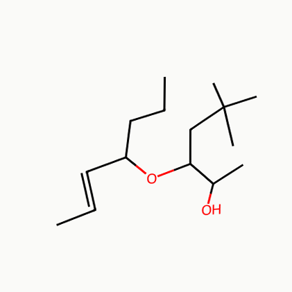 C/C=C/C(CCC)OC(CC(C)(C)C)C(C)O